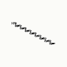 CN=NN=NN=NN=NN=NN=NN=NN=N